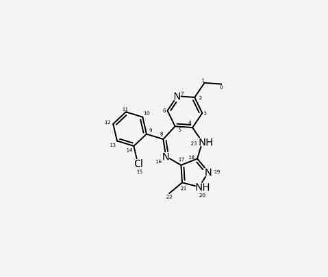 CCc1cc2c(cn1)C(c1ccccc1Cl)=Nc1c(n[nH]c1C)N2